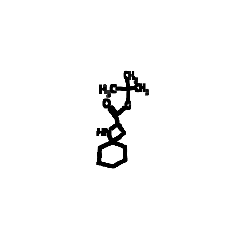 CC(C)(C)OC(=O)C1CC2(CCCCC2)N1